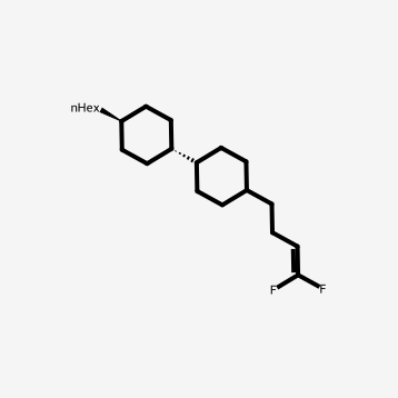 CCCCCC[C@H]1CC[C@H](C2CCC(CCC=C(F)F)CC2)CC1